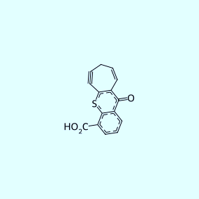 O=C(O)c1cccc2c(=O)c3c(sc12)C#CCC=C3